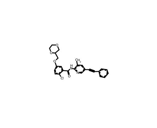 Cc1cc(C#Cc2ccccc2)cnc1NC(=O)c1cc(OCC2COCCO2)ccc1Cl